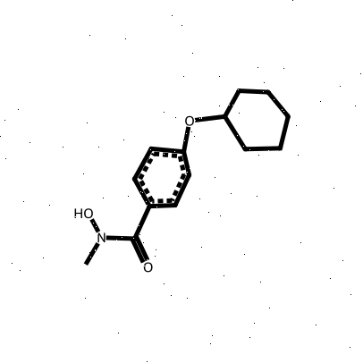 CN(O)C(=O)c1ccc(OC2CCCCC2)cc1